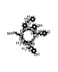 CNCCCC[C@@H]1NC(=O)[C@@H](Cc2ccc(NC(=O)Nc3ccccc3)cc2)NC(=O)[C@H](Cc2ccc(O)cc2)NC(=O)[C@H](NC(=O)[C@@H](N)Cc2ccc(Cl)cc2)CSSC[C@@H](C(=O)/N=C(\Cc2ccc(O)cc2)C(N)=O)NC(=O)[C@H]([C@@H](C)O)NC1=O